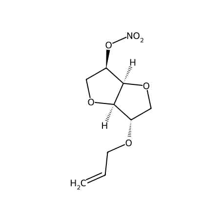 C=CCO[C@H]1CO[C@H]2[C@@H]1OC[C@H]2O[N+](=O)[O-]